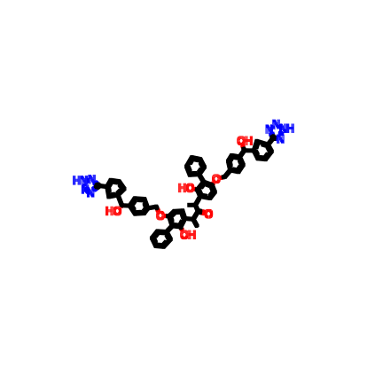 CC(C(=O)C(C)c1ccc(OCc2ccc(C(O)c3cccc(-c4nn[nH]n4)c3)cc2)c(-c2ccccc2)c1O)c1ccc(OCc2ccc(C(O)c3cccc(-c4nn[nH]n4)c3)cc2)c(-c2ccccc2)c1O